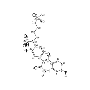 CNC(=O)c1c(-c2ccc(F)cc2)oc2nc(N(CCCCS(C)(=O)=O)[SH](=O)=O)c(I)cc12